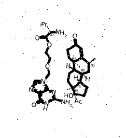 CC(=O)[C@@]1(O)CC[C@H]2[C@@H]3C[C@H](C)C4=CC(=O)CC[C@]4(C)[C@H]3CC[C@@]21C.CC(C)[C@H](N)C(=O)OCCOCn1cnc2c(=O)[nH]c(N)nc21